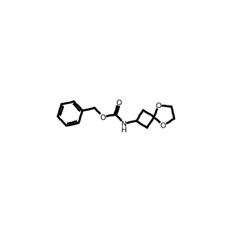 O=C(NC1CC2(C1)OCCO2)OCc1ccccc1